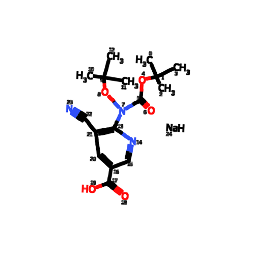 CC(C)(C)OC(=O)N(OC(C)(C)C)c1ncc(C(=O)O)cc1C#N.[NaH]